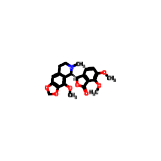 COc1ccc2c(c1OC)C(=O)O[C@@H]2C1c2c(cc3c(c2OC)OCO3)CCN1C